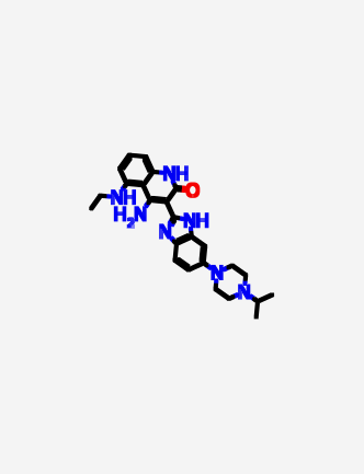 CCNc1cccc2[nH]c(=O)c(-c3nc4ccc(N5CCN(C(C)C)CC5)cc4[nH]3)c(N)c12